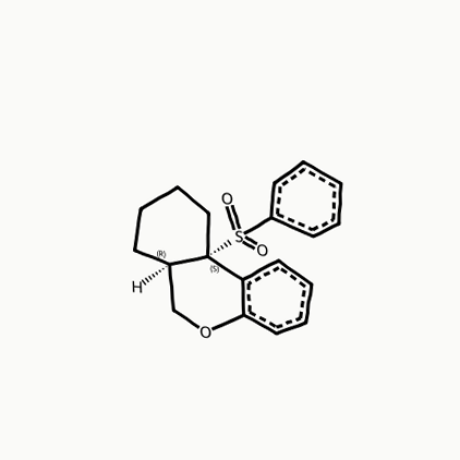 O=S(=O)(c1ccccc1)[C@@]12CCCC[C@@H]1COc1ccccc12